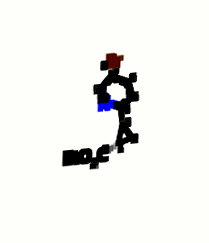 CCOC(=O)[C@H]1C[C@@H]1c1ccc(Br)cn1